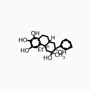 CC[C@@]12C[C@@](C)(O)[C@](O)(c3ccccc3)C[C@H]1CCc1c2cc(O)c(O)c1O